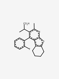 Cc1nc2sc3c(c2c(-c2ccccc2F)c1C(C)C(=O)O)CCCC3